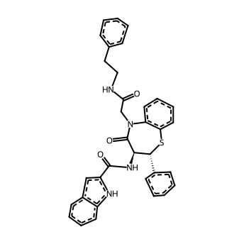 O=C(CN1C(=O)[C@H](NC(=O)c2cc3ccccc3[nH]2)[C@@H](c2ccccc2)Sc2ccccc21)NCCc1ccccc1